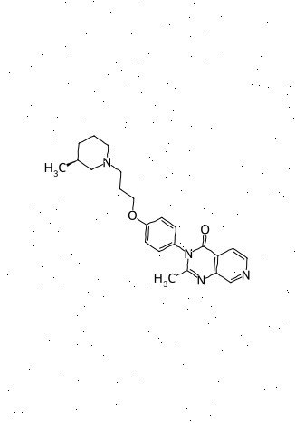 Cc1nc2cnccc2c(=O)n1-c1ccc(OCCCN2CCC[C@H](C)C2)cc1